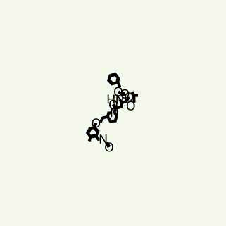 Cc1ccc(OCCC2CCCN(C(=O)CC(NC(=O)OCc3ccccc3)C(=O)OC(C)(C)C)C2)cc1CN=C=O